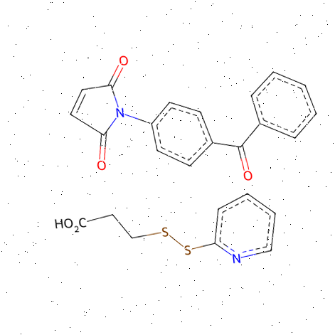 O=C(O)CCSSc1ccccn1.O=C(c1ccccc1)c1ccc(N2C(=O)C=CC2=O)cc1